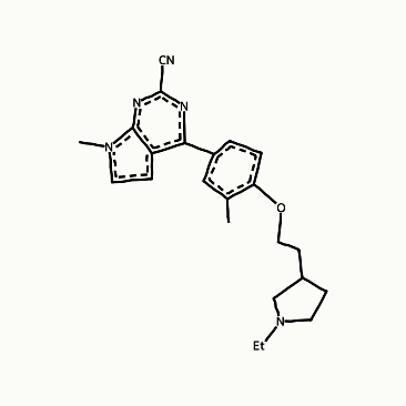 CCN1CCC(CCOc2ccc(-c3nc(C#N)nc4c3ccn4C)cc2C)C1